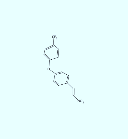 O=[N+]([O-])/C=C/c1ccc(Oc2ccc(C(F)(F)F)cc2)cc1